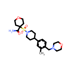 Cc1cc(C2CCN(S(=O)(=O)C3(C(N)=O)CCOCC3)CC2)ccc1CN1CCOCC1